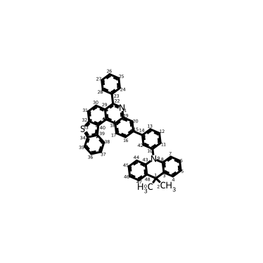 CC1(C)c2ccccc2N(c2cccc(-c3ccc4c(c3)nc(-c3ccccc3)c3ccc5sc6ccccc6c5c34)c2)c2ccccc21